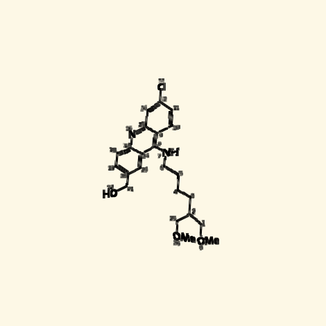 COCC(CCCCNc1c2ccc(Cl)cc2nc2ccc(CO)cc12)COC